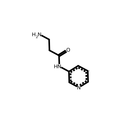 NCCC(=O)Nc1c[c]cnc1